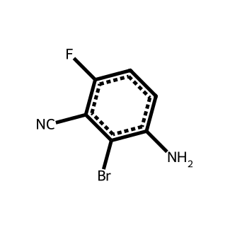 N#Cc1c(F)ccc(N)c1Br